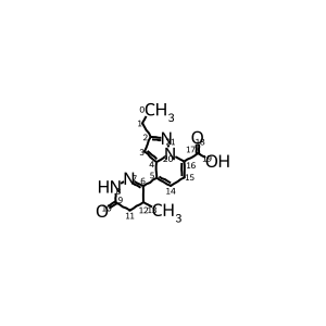 CCc1cc2c(C3=NNC(=O)CC3C)ccc(C(=O)O)n2n1